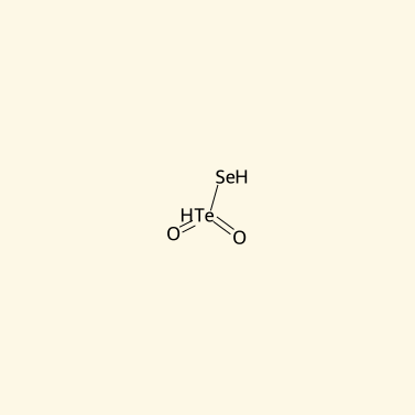 O=[TeH](=O)[SeH]